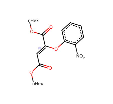 CCCCCCOC(=O)/C=C(\Oc1ccccc1[N+](=O)[O-])C(=O)OCCCCCC